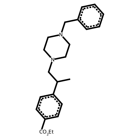 CCOC(=O)c1ccc(C(C)CN2CCN(Cc3ccccc3)CC2)cc1